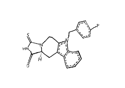 O=C1NC(=S)N2Cc3c(c4ccccc4n3Cc3ccc(F)cc3)C[C@@H]12